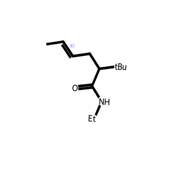 C/C=C/CC(C(=O)NCC)C(C)(C)C